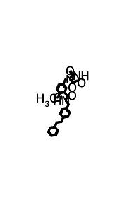 COc1ccc(CN2C(=O)NC(=O)C2=O)cc1C(=O)NCc1ccc(CCc2ccccc2)cc1